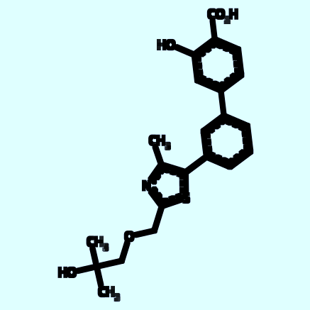 Cc1nc(COCC(C)(C)O)sc1-c1cccc(-c2ccc(C(=O)O)c(O)c2)c1